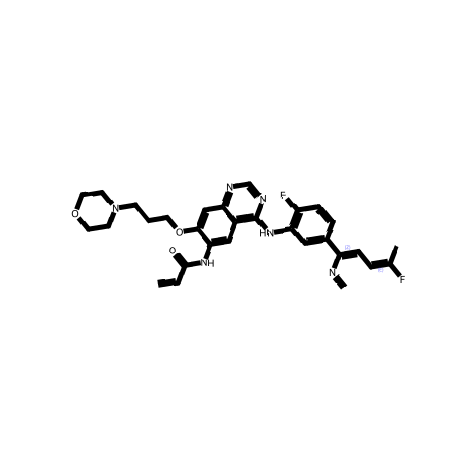 C=CC(=O)Nc1cc2c(Nc3cc(/C(=C/C=C(\C)F)N=C)ccc3F)ncnc2cc1OCCCN1CCOCC1